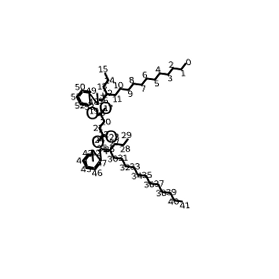 CCCCCCCCCCCCC(CCC)C(OC(=O)CCC(=O)OC(C(CCC)CCCCCCCCCCCC)[n+]1ccccc1)[n+]1ccccc1